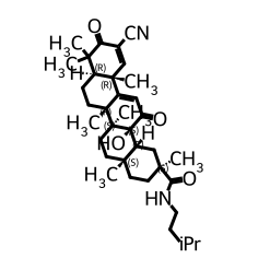 CC(C)CCNC(=O)[C@@]1(C)CC[C@]2(C)CC[C@@]3(C)[C@]4(C)CC[C@H]5C(C)(C)C(=O)C(C#N)=C[C@]5(C)C4=CC(=O)[C@]3(O)[C@@H]2C1